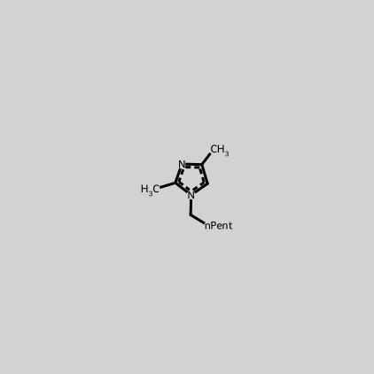 CCCCCCn1cc(C)nc1C